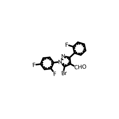 O=Cc1c(-c2ccccc2F)nn(-c2ccc(F)cc2F)c1Br